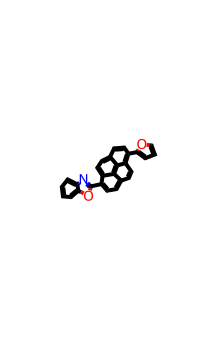 c1coc(-c2ccc3ccc4c(-c5nc6ccccc6o5)ccc5ccc2c3c54)c1